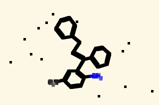 Nc1ccc([N+](=O)[O-])cc1C(=CCc1ccccc1)c1ccccc1